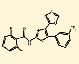 O=C(Nc1nc(-c2nnco2)c(-c2cccc(C(F)(F)F)c2)s1)c1c(F)cccc1F